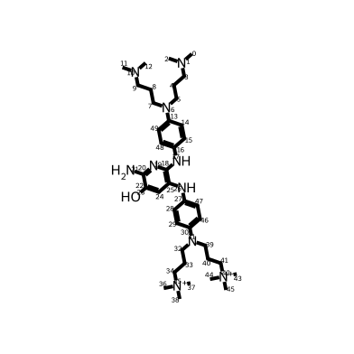 CN(C)CCCN(CCCN(C)C)c1ccc(Nc2nc(N)c(O)cc2Nc2ccc(N(CCC[N+](C)(C)C)CCC[N+](C)(C)C)cc2)cc1